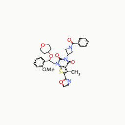 COc1ccccc1C(Cn1c(=O)n(C2CN(C(=O)c3ccccc3)C2)c(=O)c2c(C)c(-c3ncco3)sc21)OC1CCOCC1